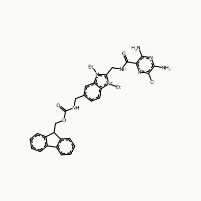 CCn1c(CNC(=O)c2nc(Cl)c(N)nc2N)[n+](CC)c2ccc(CNC(=O)OCC3c4ccccc4-c4ccccc43)cc21